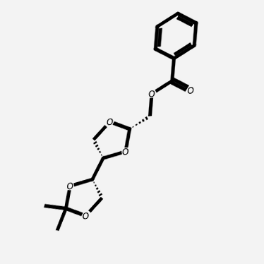 CC1(C)OC[C@@H]([C@@H]2CO[C@H](COC(=O)c3ccccc3)O2)O1